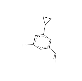 C=Cc1cc(CC)cc(C2CC2)c1